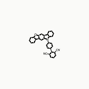 N#Cc1cccc(C#N)c1-c1ccc(-n2c3ccccc3c3cc4oc5ccccc5c4cc32)cc1